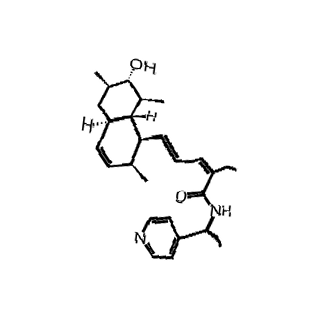 CC(=CC=C[C@@H]1[C@H]2[C@H](C)[C@@H](O)[C@H](C)C[C@@H]2C=C[C@@H]1C)C(=O)NC(C)c1ccncc1